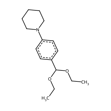 CCOC(OCC)c1ccc(N2CCCCC2)cc1